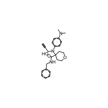 C#CC(O)N(c1ccc(N(C)C)cc1)C1(C(=O)NCc2ccccc2)CCOCC1